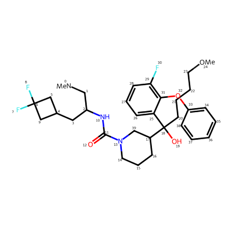 CNCC(CC1CC(F)(F)C1)NC(=O)N1CCCC(C(O)(CCCCOC)c2cccc(F)c2Oc2ccccc2)C1